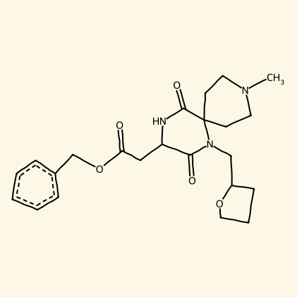 CN1CCC2(CC1)C(=O)NC(CC(=O)OCc1ccccc1)C(=O)N2CC1CCCO1